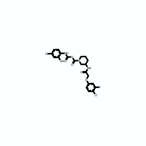 O=C(COc1ccc(Cl)c(F)c1)NC1CCCN(C(=O)OC(=O)Nc2ccc(Cl)cc2O)C1